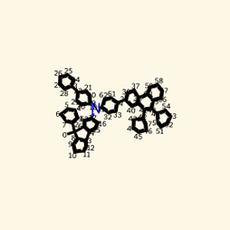 CC1(c2ccccc2)c2ccccc2-c2ccc(N(c3ccc(-c4ccccc4)cc3)c3ccc(-c4ccc5c(c4)c(-c4ccccc4)c(-c4ccccc4)c4ccccc45)cc3)cc21